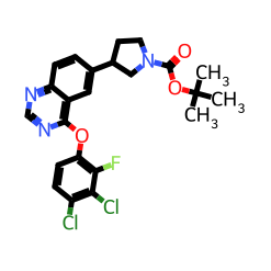 CC(C)(C)OC(=O)N1CCC(c2ccc3ncnc(Oc4ccc(Cl)c(Cl)c4F)c3c2)C1